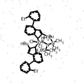 CCCCC1=Cc2c(-c3ccccc3CC)cccc2[CH]1[Zr]([Cl])([Cl])([BH]N([Si](C)(C)C)[Si](C)(C)C)[CH]1C(CCCC)=Cc2c(-c3ccccc3CC)cccc21